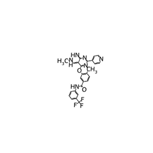 CN/C=C1\C(=N)N=C(c2ccncc2)N=C1Oc1cc(C(=O)Nc2cccc(C(F)(F)F)c2)ccc1C